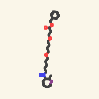 CC1=C(NCCCCCOCCCCOCCC(=O)OCc2ccccc2)C=CCC=P1